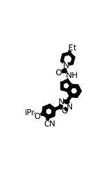 CCC1CCN(C(=O)N[C@H]2CCc3c(-c4noc(-c5ccc(OC(C)C)c(C#N)c5)n4)cccc32)CC1